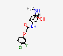 CNC12CCC(NC(=O)COc3ccc(Cl)c(F)c3)(CC1)C[C@@H]2O